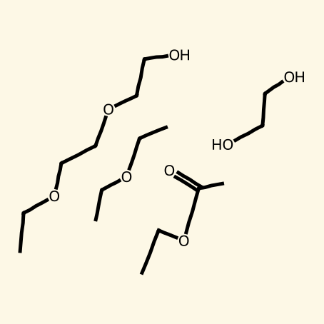 CCOC(C)=O.CCOCC.CCOCCOCCO.OCCO